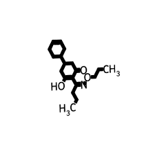 CCCO/N=C(/CCC)C1=C(O)CC(C2CC=CCC2)CC1=O